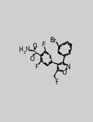 NS(=O)(=O)c1c(F)cc(-c2c(-c3cccc(Br)c3)noc2CF)cc1F